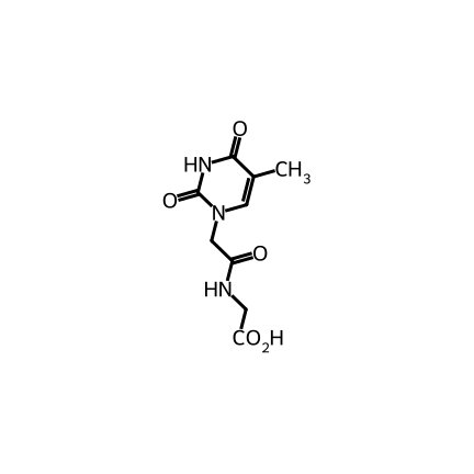 Cc1cn(CC(=O)NCC(=O)O)c(=O)[nH]c1=O